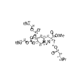 COC(=O)[C@@](N)(CCOC(=O)CCC(C)C)Cc1ccc(OC(=O)OCC(C)(C)C)c(OC(=O)OCC(C)(C)C)c1